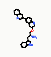 N[C@H](COc1cnc2ccc(-c3cnc4ccccc4c3)cc2c1)Cc1c[nH]c2ccccc12